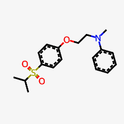 CC(C)S(=O)(=O)c1ccc(OCCN(C)c2ccccc2)cc1